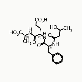 CC(O)CC(=O)N[C@@H](Cc1ccccc1)C(=O)N[C@@H](CCC(=O)O)C(=O)N[C@@H](C)C(=O)O